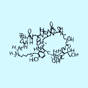 CC[C@H](C)[C@H](NC(=O)CN)C(=O)NCC(=O)N[C@H]1C[S+]([O-])c2[nH]c3c(CSCCCCN)c(O)ccc3c2C[C@@H](CO)NC(=O)[C@H]([C@@H](C)[C@@H](O)CO)NC(=O)C[C@@H](O)CNC(=O)[C@H](CC(N)=O)NC1=O